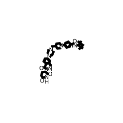 CC1(C)CC(C)(C)C1NC(=O)c1ccc(N2CCC(CN3CCN(c4ccc5c(=O)n(C6CCC(=O)NC6=O)ncc5c4)CC3)CC2)cc1